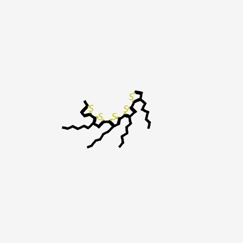 CCCCCCc1ccsc1-c1cc(CCCCCC)c(-c2cc(CCCCCC)c(-c3cc(CCCCCC)c(-c4ccc(C)s4)s3)s2)s1